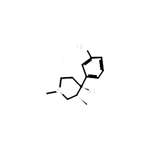 CCC[C@]1(c2cccc(O)c2)CCN(C)C[C@@H]1C.Cl